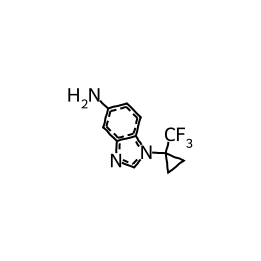 Nc1ccc2c(c1)ncn2C1(C(F)(F)F)CC1